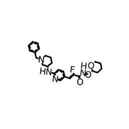 O=C(NOC1CCCCO1)/C(F)=C/c1ccc(N[C@@H]2CCCN(Cc3ccccc3)C2)nc1